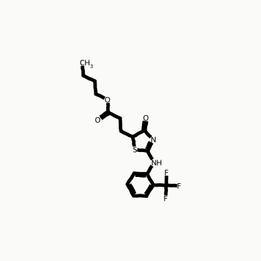 CCCCOC(=O)CCC1SC(Nc2ccccc2C(F)(F)F)=NC1=O